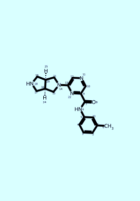 Cc1cccc(NC(=O)c2cncc(N3C[C@H]4CNC[C@H]4C3)n2)c1